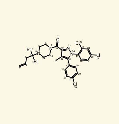 C=CCC(CC)(CC)N1CCN(C(=O)c2nn(-c3ccc(Cl)cc3Cl)c(-c3ccc(Cl)cc3)c2C)CC1